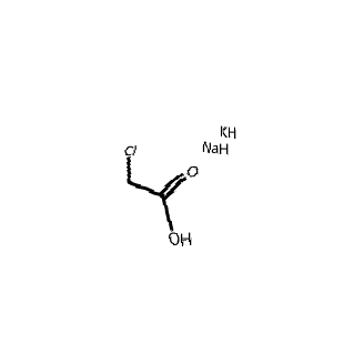 O=C(O)CCl.[KH].[NaH]